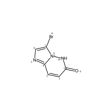 O=C1C=CC2=NC=C(Br)[N+]2N1